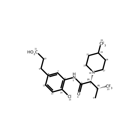 C[C@H]([C@H](C(=O)Nc1cc(CCC(=O)O)ccc1Cl)N1CCC(C(F)(F)F)CC1)C(F)(F)F